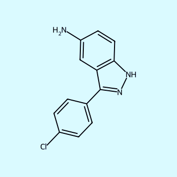 Nc1ccc2[nH]nc(-c3ccc(Cl)cc3)c2c1